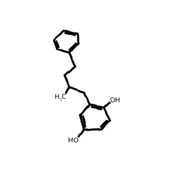 CC(CCc1ccccc1)Cc1cc(O)ccc1O